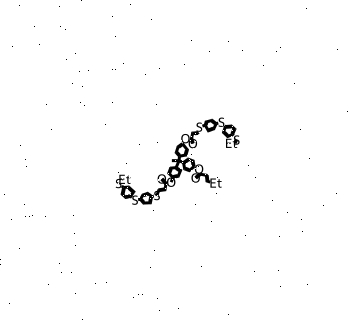 CC/C=C/C(=O)Oc1ccc(C(C)(c2ccc(OC(=O)C=CSc3ccc(Sc4ccc(SCC)cc4)cc3)cc2)c2ccc(OC(=O)C=CSc3ccc(Sc4ccc(SCC)cc4)cc3)cc2)cc1